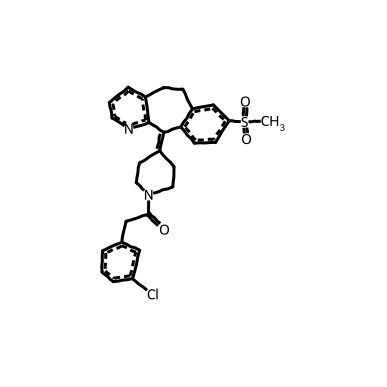 CS(=O)(=O)c1ccc2c(c1)CCc1cccnc1C2=C1CCN(C(=O)Cc2cccc(Cl)c2)CC1